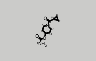 NC(=O)OC1CCN(C(=O)C2CC2)CC1